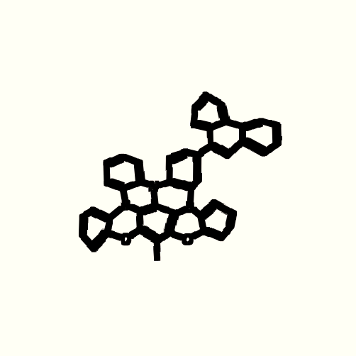 Cc1c2c3c4c5c1Oc1ccccc1B5c1cc(-c5cc6ccccc6c6ccccc56)ccc1N4c1ccccc1B3c1ccccc1O2